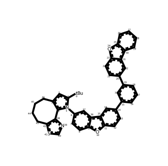 CC(C)(C)c1cc2c(n1-c1ccc3oc4ccc(-c5cccc(-c6ccc7oc8ccccc8c7c6)c5)cc4c3c1)-c1ncsc1CCCC2